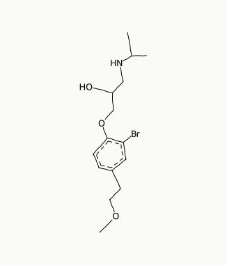 COCCc1ccc(OCC(O)CNC(C)C)c(Br)c1